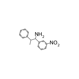 CC(c1ccccc1)C(N)c1cccc([N+](=O)[O-])c1